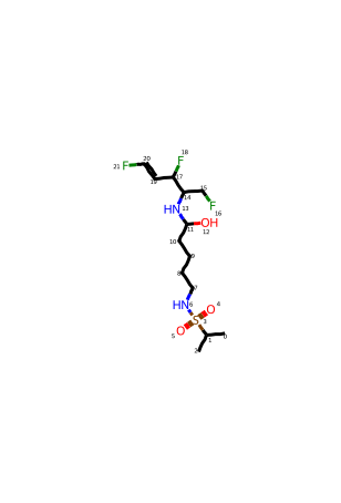 CC(C)S(=O)(=O)NCCCCC(O)NC(CF)C(F)/C=C/F